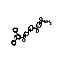 NC(=O)N1CCN(C(=O)[C@@H]2CCCN(C3CCN(C(=O)c4cc(-c5ccccc5)nc(-c5ccccc5)c4)CC3)C2)CC1